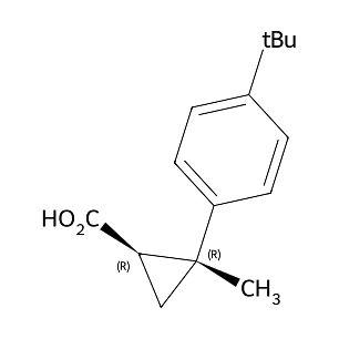 CC(C)(C)c1ccc([C@]2(C)C[C@H]2C(=O)O)cc1